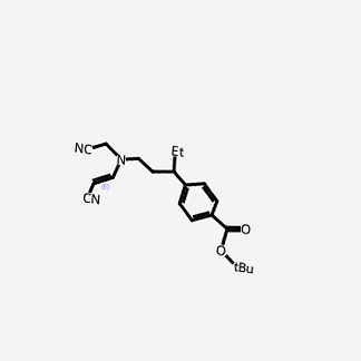 CCC(CCN(/C=C/C#N)CC#N)c1ccc(C(=O)OC(C)(C)C)cc1